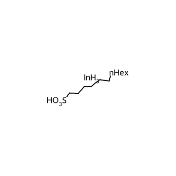 CCCCCCCCCCCCS(=O)(=O)O.[InH3]